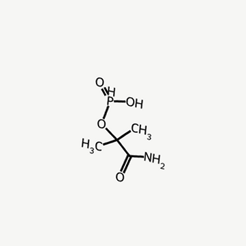 CC(C)(O[PH](=O)O)C(N)=O